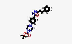 CC(C)(C)OC(=O)N1CCN(c2ccc(-c3nnc(CCc4ccccc4)o3)cc2)CC1